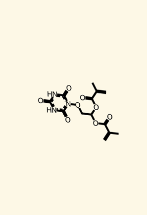 C=C(C)C(=O)OC(COn1c(=O)[nH]c(=O)[nH]c1=O)OC(=O)C(=C)C